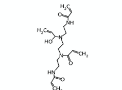 C=CC(=O)NCCN(CCN(CCNC(=O)C=C)C(O)C=C)C(=O)C=C